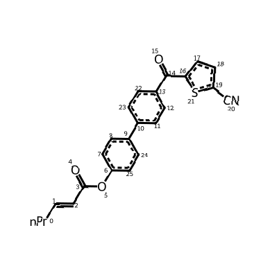 CCCC=CC(=O)Oc1ccc(-c2ccc(C(=O)c3ccc(C#N)s3)cc2)cc1